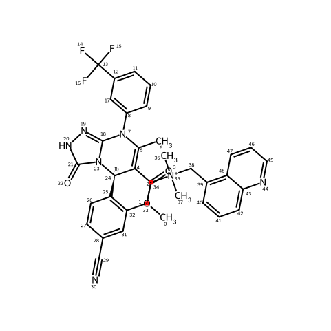 COC(=O)C1=C(C)N(c2cccc(C(F)(F)F)c2)c2n[nH]c(=O)n2[C@@H]1c1ccc(C#N)cc1CC[N+](C)(C)Cc1cccc2ncccc12